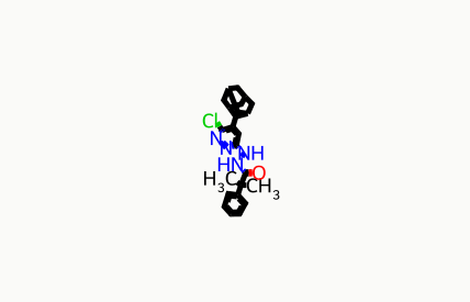 CC(C)(C(=O)NNc1cc(C2C3CC4CC(C3)CC2C4)c(Cl)nn1)c1ccccc1